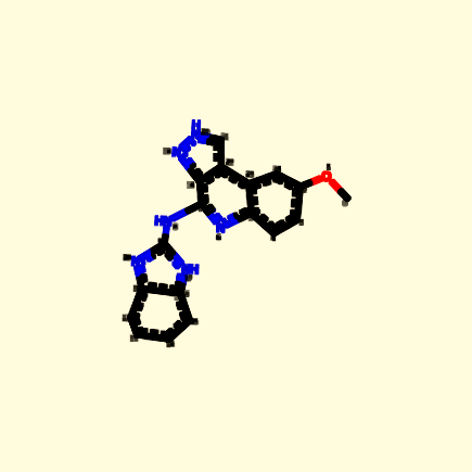 COc1ccc2nc(Nc3nc4ccccc4[nH]3)c3n[nH]cc3c2c1